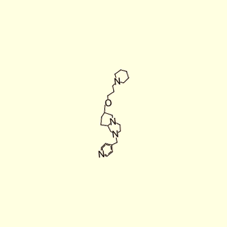 c1cc(CN2CCN3CC(COCCCN4CCCCC4)CCC3C2)ccn1